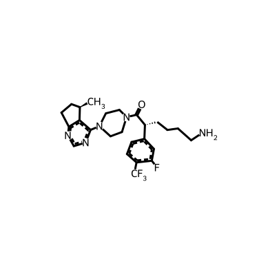 C[C@@H]1CCc2ncnc(N3CCN(C(=O)[C@H](CCCCN)c4ccc(C(F)(F)F)c(F)c4)CC3)c21